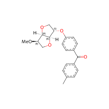 CO[C@@H]1CO[C@H]2[C@@H]1OC[C@@H]2Oc1ccc(C(=O)c2ccc(C)cc2)cc1